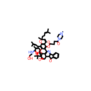 CC(C)=CCCC1(C)C=Cc2c(c(CC=C(C)C)c3c(c2OC(=O)CCC(=O)N2CCN(C)CC2)C2=C4C(C5CC6C(C)(C)OC(C/C=C(/C)C(=O)NCCO)(C5=O)C46O3)C3C(=O)c4ccccc4C3=N2)O1